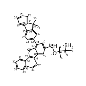 BC(C)(C)C(C)(C)OBc1cc(-c2ccc3c(c2)C(C)(C)c2ccccc2-3)c2sc3c4ccccc4ccc3c2c1